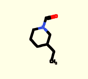 CCC1CCCN(C=O)C1